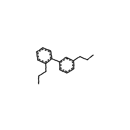 CCCc1cccc(-c2ccccc2CCC)c1